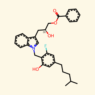 CC(C)CCCc1cc(O)c(Cn2cc(C[C@H](O)COC(=O)c3ccccc3)c3ccccc32)c(F)c1